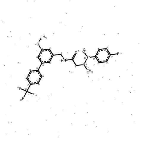 COc1cc(CNC(=O)CN(C)[S+]([O-])c2ccc(F)cc2)cc(-c2ccc(C(F)(F)F)cc2)c1